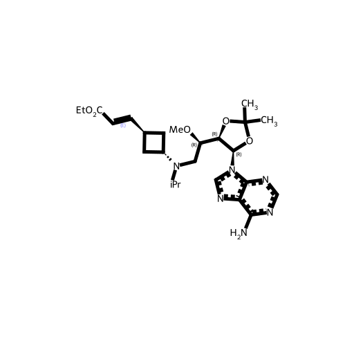 CCOC(=O)/C=C/[C@H]1C[C@H](N(C[C@@H](OC)[C@H]2OC(C)(C)O[C@H]2n2cnc3c(N)ncnc32)C(C)C)C1